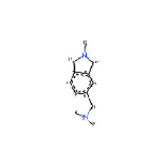 CN(C)Cc1ccc2c(c1)CN(C)C2